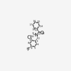 CN(Cc1ccc(F)cc1Cl)C(=O)c1ccccc1